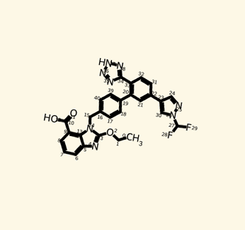 CCOc1nc2cccc(C(=O)O)c2n1Cc1ccc(-c2cc(-c3cnn(C(F)F)c3)ccc2-c2nn[nH]n2)cc1